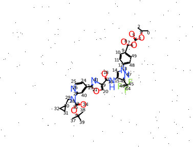 CC(C)OC(=O)OC(=O)c1ccc(-n2cc(NC(=O)c3coc(-c4ccnc(N(CC5CC5)C(=O)OC(C)(C)C)c4)n3)c(C(F)(F)F)n2)cc1